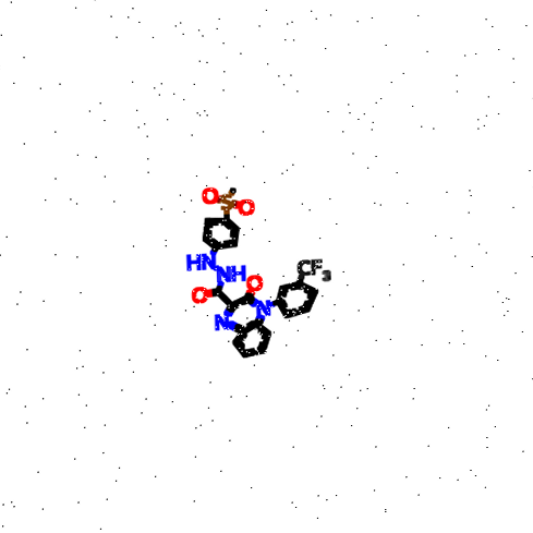 CS(=O)(=O)c1ccc(NNC(=O)c2nc3ccccc3n(-c3cccc(C(F)(F)F)c3)c2=O)cc1